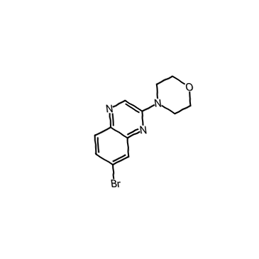 Brc1ccc2ncc(N3CCOCC3)nc2c1